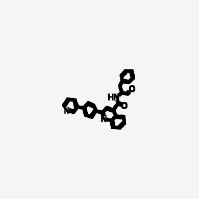 O=CC(Cc1ccccc1)NC(=O)c1cc(-c2ccc(-c3cccnc3)cc2)nc2ccccc12